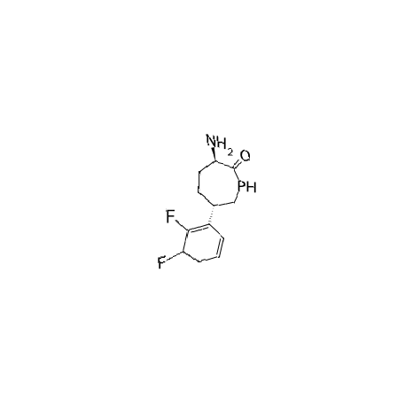 N[C@@H]1CC[C@@H](C2=C(F)C(F)CC=C2)CPC1=O